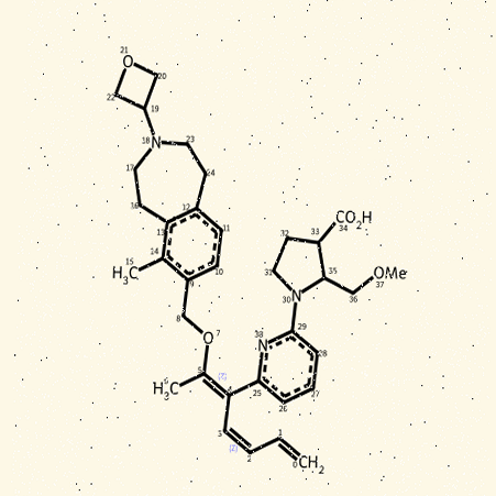 C=C/C=C\C(=C(/C)OCc1ccc2c(c1C)CCN(C1COC1)CC2)c1cccc(N2CCC(C(=O)O)C2COC)n1